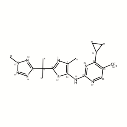 Cc1nc(C(C)(C)c2nnn(C)n2)sc1Nc1ncc(C(F)(F)F)c(C2CC2)n1